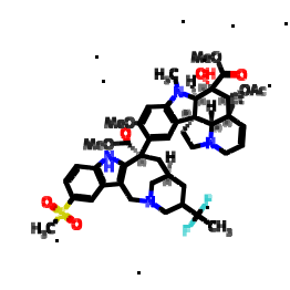 CC[C@]12C=CCN3CC[C@@]4(c5cc([C@@]6(C(=O)OC)C[C@H]7CC(C(C)(F)F)CN(Cc8c6[nH]c6ccc(S(C)(=O)=O)cc86)C7)c(OC)cc5N(C)[C@H]4[C@@](O)(C(=O)OC)[C@@H]1OC(C)=O)[C@@H]32